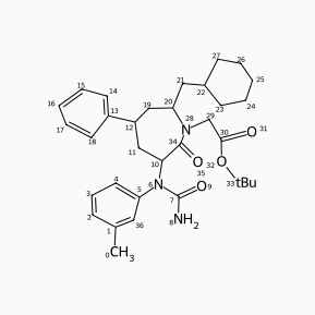 Cc1cccc(N(C(N)=O)C2CC(c3ccccc3)CC(CC3CCCCC3)N(CC(=O)OC(C)(C)C)C2=O)c1